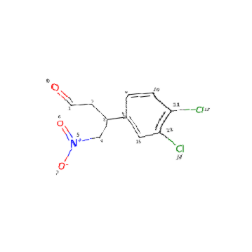 O=CCC(C[N+](=O)[O-])c1ccc(Cl)c(Cl)c1